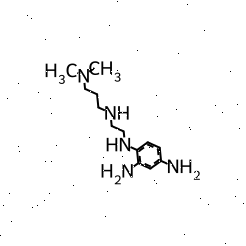 CN(C)CCCNCCNc1ccc(N)cc1N